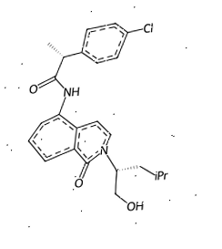 CC(C)C[C@H](CO)n1ccc2c(NC(=O)[C@H](C)c3ccc(Cl)cc3)cccc2c1=O